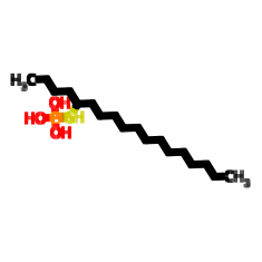 CCCCCCCCCCCCCC(CCCC)[SH]=P(O)(O)O